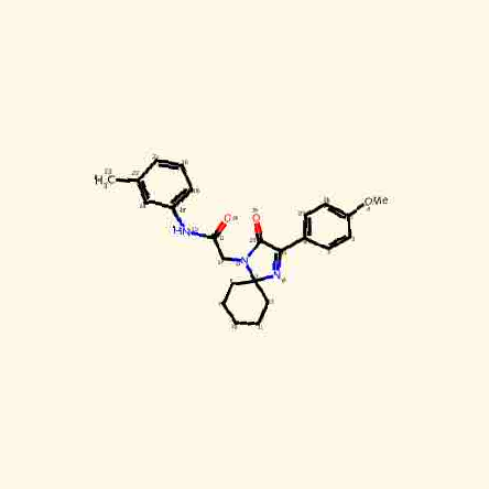 COc1ccc(C2=NC3(CCCCC3)N(CC(=O)Nc3cccc(C)c3)C2=O)cc1